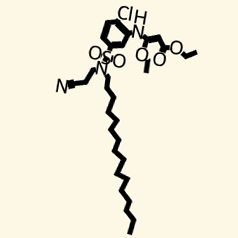 CCCCCCCCCCCCCCCCN(CCC#N)S(=O)(=O)c1ccc(Cl)c(NC(=CC(=O)OCC)OCC)c1